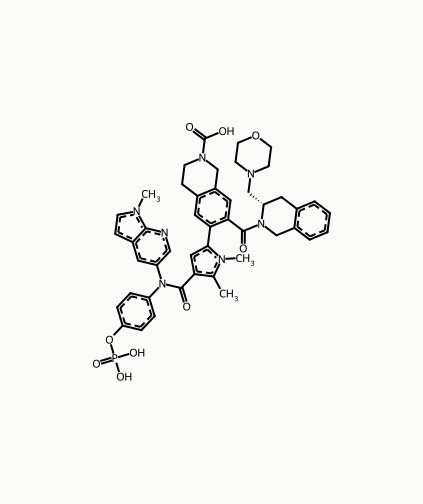 Cc1c(C(=O)N(c2ccc(OP(=O)(O)O)cc2)c2cnc3c(ccn3C)c2)cc(-c2cc3c(cc2C(=O)N2Cc4ccccc4C[C@H]2CN2CCOCC2)CN(C(=O)O)CC3)n1C